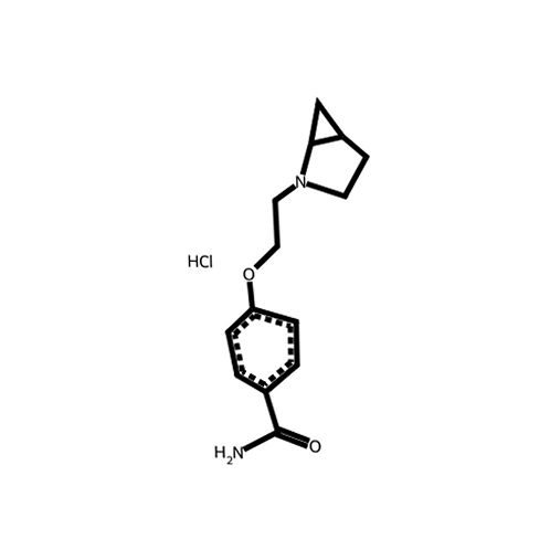 Cl.NC(=O)c1ccc(OCCN2CCC3CC32)cc1